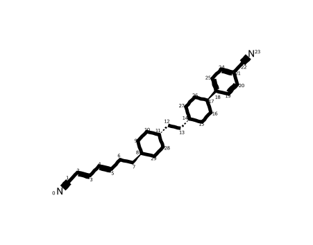 N#CC=CC=CCC[C@H]1CC[C@H](CC[C@H]2CC[C@H](c3ccc(C#N)cc3)CC2)CC1